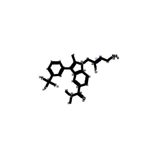 Cc1c(-c2cccc(C(F)(F)F)c2)c2cc(C(=O)N(C)C)ccc2n1C/C(F)=C/CN